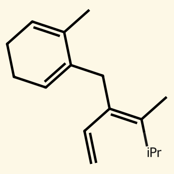 C=C/C(CC1=CCCC=C1C)=C(/C)C(C)C